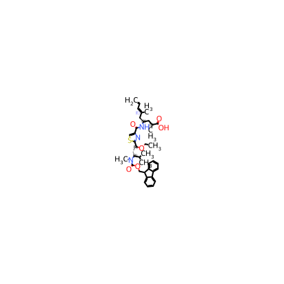 C=C/C=C(\C)C[C@@H](C[C@H](C)C(=O)O)NC(=O)c1csc([C@@H](C[C@H](C(C)C)N(C)C(=O)OCC2c3ccccc3-c3ccccc32)OCC)n1